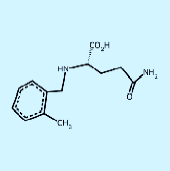 Cc1ccccc1CN[C@@H](CCC(N)=O)C(=O)O